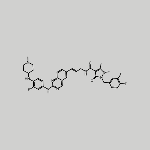 Cc1c(C(=O)NCC=Cc2ccc3nc(Nc4ccc(NC5CCN(C)CC5)c(F)c4)ncc3c2)c(=O)n(Cc2ccc(F)c(F)c2)n1C